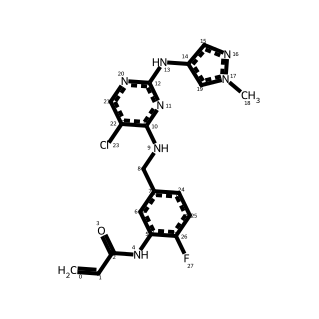 C=CC(=O)Nc1cc(CNc2nc(Nc3cnn(C)c3)ncc2Cl)ccc1F